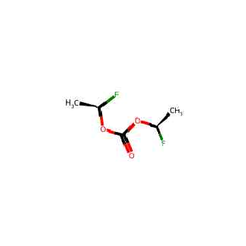 C[C@@H](F)OC(=O)O[C@@H](C)F